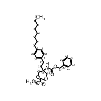 CCCCCCCCc1ccc(CCC2(NC(=O)OCc3ccccc3)COP(=O)(OC)OC2)cc1